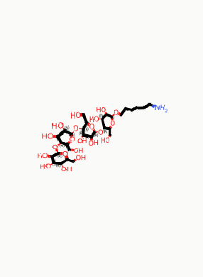 NCCCCCCO[C@H]1OC(CO)[C@H](O[C@H]2OC(CO)[C@@H](O[C@@H]3OC(CO)[C@@H](O[C@H]4OC(CO)[C@H](O)[C@H](O)C4O)C(O)[C@@H]3O)[C@H](O)C2O)[C@H](O)C1O